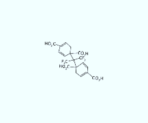 O=C(O)C1=CCC(C(=O)O)(C(C(F)(F)F)(C(F)(F)F)C2(C(=O)O)C=CC(C(=O)O)=CC2)C=C1